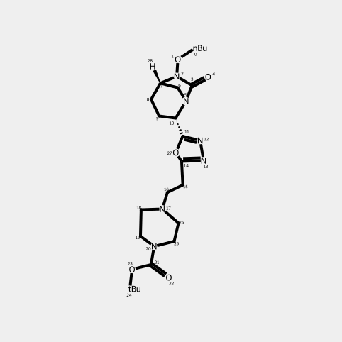 CCCCON1C(=O)N2C[C@@H]1CC[C@H]2c1nnc(CCN2CCN(C(=O)OC(C)(C)C)CC2)o1